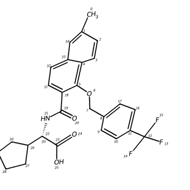 Cc1ccc2c(OCc3ccc(C(F)(F)F)cc3)c(C(=O)N[C@H](C(=O)O)C3CCCC3)ccc2c1